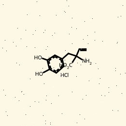 C=CC(N)(Cc1ccc(O)c(O)c1)C(=O)O.Cl